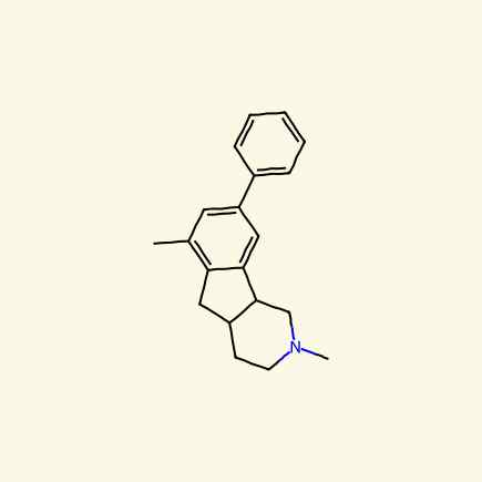 Cc1cc(-c2ccccc2)cc2c1CC1CCN(C)CC21